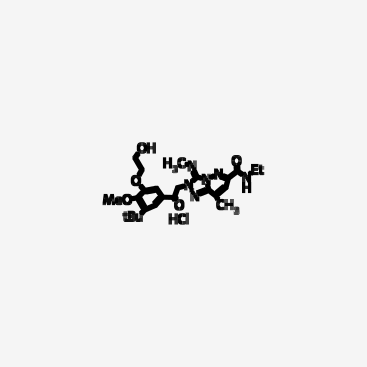 CCNC(=O)c1cc(C)c2nn(CC(=O)c3cc(OCCO)c(OC)c(C(C)(C)C)c3)c(=NC)n2n1.Cl